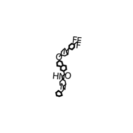 O=C(NC1CCN(Cc2ccccc2)CC1)c1ccc2cc(OC3CCN(c4ccc(C(F)(F)F)cc4)CC3)ccc2c1